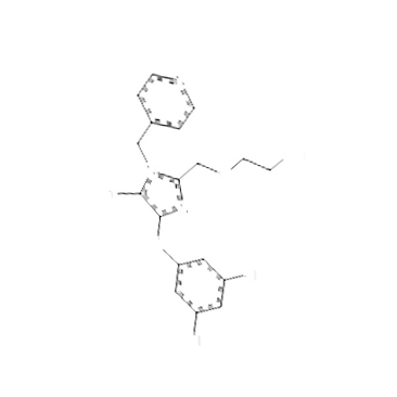 CC(C)c1c(Sc2cc(Cl)cc(Cl)c2)nc(COCCO)n1Cc1ccncc1